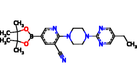 CCc1cnc(N2CCN(c3ncc(B4OC(C)(C)C(C)(C)O4)cc3C#N)CC2)nc1